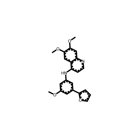 COc1cc(Nc2ccnc3cc(OC)c(OC)cc23)cc(-c2ccco2)c1